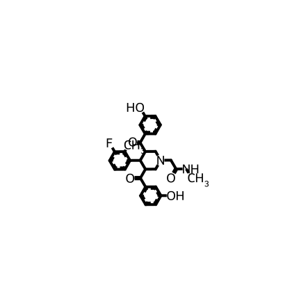 CNC(=O)CN1CC(C(=O)c2cccc(O)c2)C(c2cccc(F)c2C)C(C(=O)c2cccc(O)c2)C1